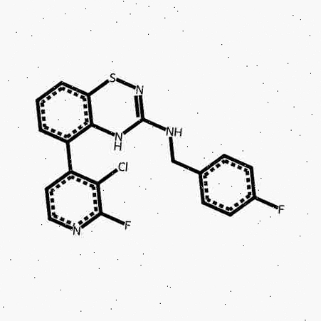 Fc1ccc(CNC2=NSc3cccc(-c4ccnc(F)c4Cl)c3N2)cc1